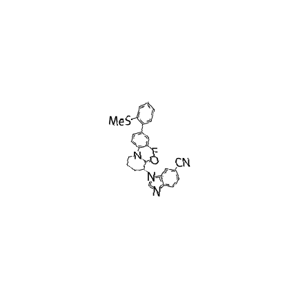 CSc1ccccc1-c1ccc(N2CCCC(n3cnc4ccc(C#N)cc43)C2=O)c(F)c1